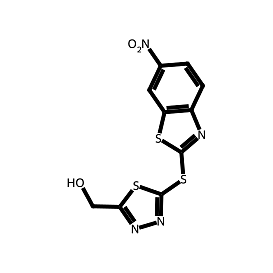 O=[N+]([O-])c1ccc2nc(Sc3nnc(CO)s3)sc2c1